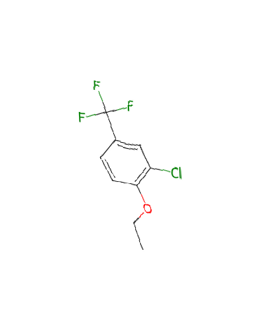 CCOc1ccc(C(F)(F)F)cc1Cl